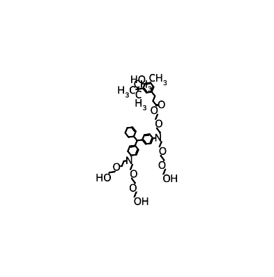 Cc1cc(CCC(=O)OCCOCCN(CCOCCOCCO)c2ccc(C(C3=CCC(N(CCOCCO)CCOCCOCCO)C=C3)C3C=CCCC3)cc2)cc(C(C)(C)C)c1O